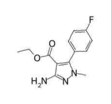 CCOC(=O)c1c(N)nn(C)c1-c1ccc(F)cc1